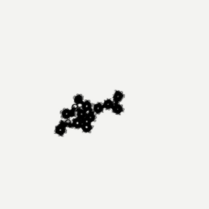 c1ccc(-c2ccc(N(c3ccc(-c4ccc5c(c4)c4ccccc4n5-c4ccccc4)cc3)c3ccc4c(c3)C(c3ccc(COC5Cc6ccccc65)cc3)(c3ccc(COC5Cc6ccccc65)cc3)c3ccccc3-4)cc2)cc1